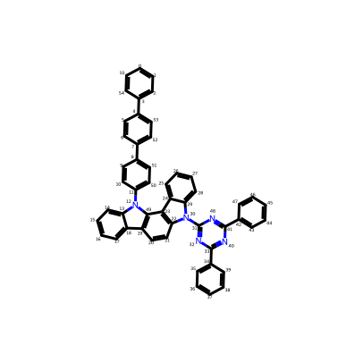 c1ccc(-c2ccc(-c3ccc(-n4c5ccccc5c5ccc6c(c7ccccc7n6-c6nc(-c7ccccc7)nc(-c7ccccc7)n6)c54)cc3)cc2)cc1